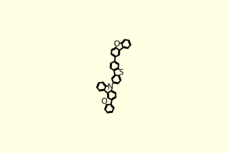 c1ccc2c(c1)oc1ccc(-c3ccc4c(c3)sc3ccc(-n5c6ccccc6c6c7oc8ccccc8c7ccc65)cc34)cc12